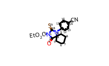 CCOC(=O)N1C(=O)C2(CCCCC2)N(c2ccc(C#N)cc2)C1=S